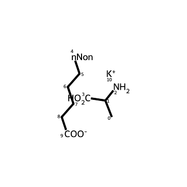 CC(N)C(=O)O.CCCCCCCCCCCCCC(=O)[O-].[K+]